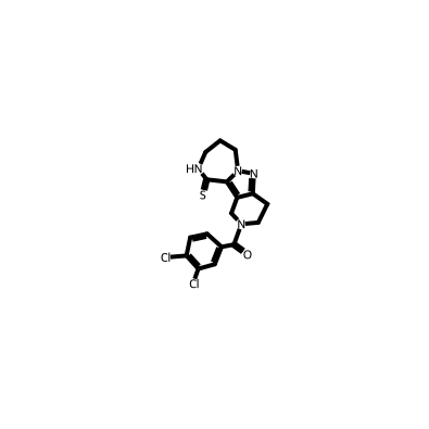 O=C(c1ccc(Cl)c(Cl)c1)N1CCc2nn3c(c2C1)C(=S)NCCC3